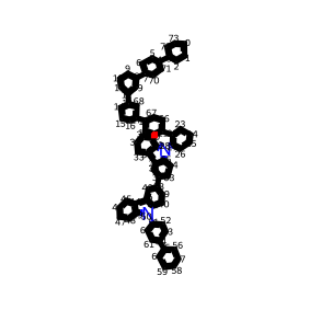 c1ccc(-c2ccc(-c3cccc(-c4cccc(-c5ccc(-c6ccccc6-n6c7ccccc7c7cc(-c8ccc9c(c8)c8ccccc8n9-c8ccc(-c9ccccc9)cc8)ccc76)cc5)c4)c3)cc2)cc1